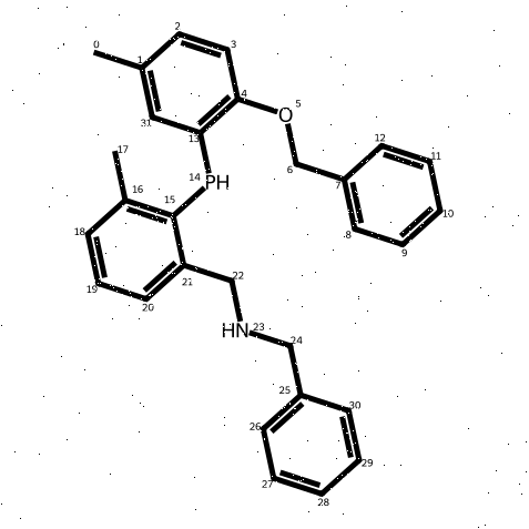 Cc1ccc(OCc2ccccc2)c(Pc2c(C)cccc2CNCc2ccccc2)c1